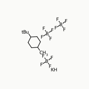 CC1CCC(C(C)(C)C)CC1.F[B-](F)(F)F.F[B-](F)(F)F.F[B-](F)(F)F.[KH]